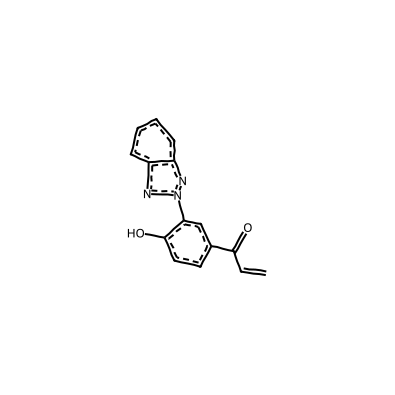 C=CC(=O)c1ccc(O)c(-n2nc3ccccc3n2)c1